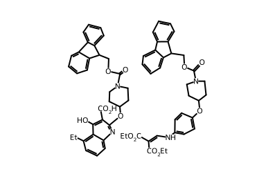 CCOC(=O)C(=CNc1ccc(OC2CCN(C(=O)OCC3c4ccccc4-c4ccccc43)CC2)cc1)C(=O)OCC.CCc1cccc2nc(OC3CCN(C(=O)OCC4c5ccccc5-c5ccccc54)CC3)c(C(=O)O)c(O)c12